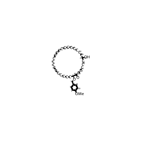 COc1ccc(CO[C@H]2CCCCCCCCCCCCCCCCCCCCCC(O)CCCCOC2=O)cc1